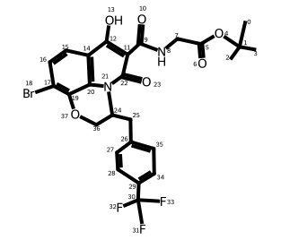 CC(C)(C)OC(=O)CNC(=O)c1c(O)c2ccc(Br)c3c2n(c1=O)C(Cc1ccc(C(F)(F)F)cc1)CO3